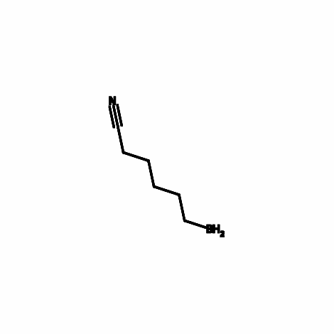 BCCCCCC#N